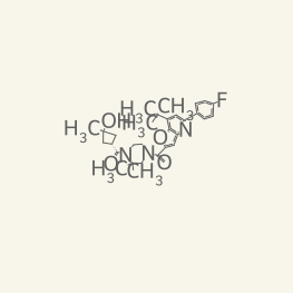 CC(C)(C)c1cc(-c2ccc(F)cc2)nc2cc(C(=O)N3CCN(C(=O)[C@H]4C[C@@](C)(O)C4)C(C)(C)C3)oc12